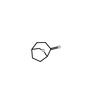 O=C1CCC2CCC1OC2